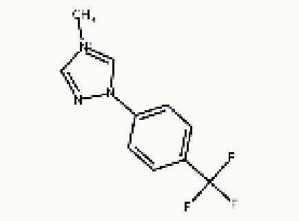 C[n+]1cnn(-c2ccc(C(F)(F)F)cc2)c1